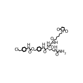 NC(=O)NCCC[C@H](NC(=O)CNC(=O)CCCCCN1C(=O)C=CC1=O)C(=O)Nc1ccc(COC(=O)Nc2ccc(CCl)cc2)cc1